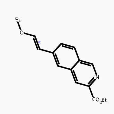 CCO/C=C/c1ccc2cnc(C(=O)OCC)cc2c1